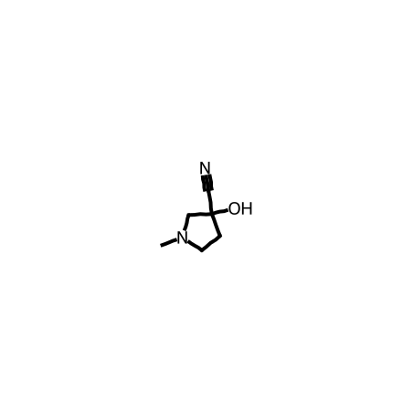 CN1CCC(O)(C#N)C1